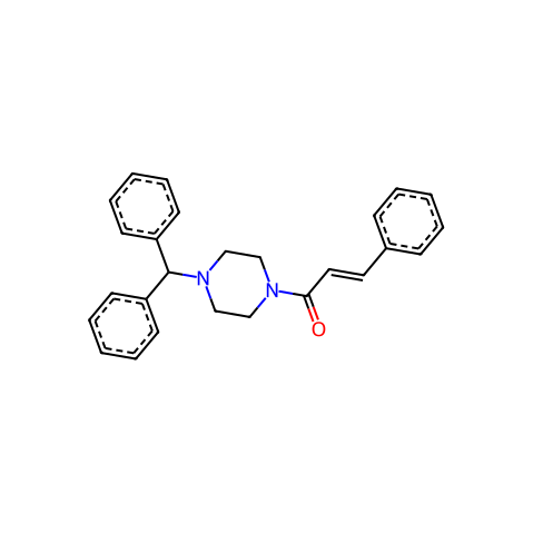 O=C(C=Cc1ccccc1)N1CCN(C(c2ccccc2)c2ccccc2)CC1